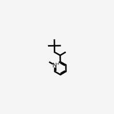 CC(CC(C)(C)C)c1cccc[n+]1C